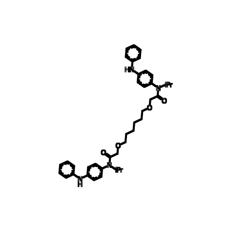 CC(C)N(C(=O)COCCCCCCOCC(=O)N(c1ccc(Nc2ccccc2)cc1)C(C)C)c1ccc(Nc2ccccc2)cc1